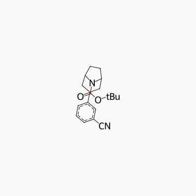 CC(C)(C)OC(=O)N1C2CCC1CC(c1cccc(C#N)c1)C2